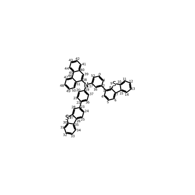 c1cc(-c2cccc3c2sc2ccccc23)cc(N(c2ccc(-c3ccc4c(c3)sc3ccccc34)cc2)c2cc3ccccc3c3ccccc23)c1